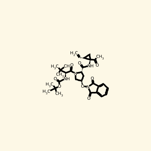 C=C[C@@H]1C[C@]1(NC(=O)[C@@H]1C[C@@H](ON2C(=O)c3ccccc3C2=O)CN1C(=O)[C@@H](NC(=O)OC(C)(C)C)C(C)(C)C)C(C)=O